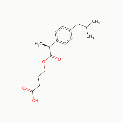 CC(C)Cc1ccc([C@H](C)C(=O)OCCCC(=O)O)cc1